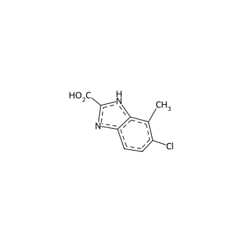 Cc1c(Cl)ccc2nc(C(=O)O)[nH]c12